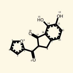 O=C(c1ccco1)C1Cc2ccc(O)c(O)c2C1=O